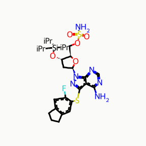 CC(C)[Si](O[C@H]1C[C@H](n2nc(Sc3cc4c(cc3F)CCC4)c3c(N)ncnc32)O[C@@H]1COS(N)(=O)=O)(C(C)C)C(C)C